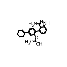 CC(C)Oc1cc(C2=CCCCC2)ccc1-c1cccc2[nH]nc(N)c12